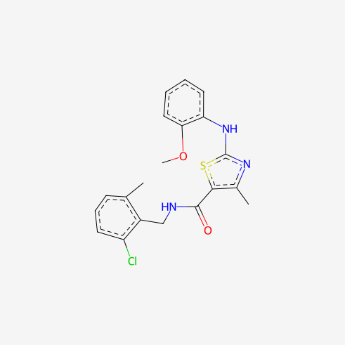 COc1ccccc1Nc1nc(C)c(C(=O)NCc2c(C)cccc2Cl)s1